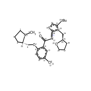 CN1CCC[C@H]1COc1ccc(C(F)(F)F)cc1C(=O)/N=c1\scc(C(C)(C)C)n1C[C@H]1CCCO1